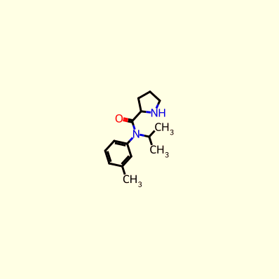 Cc1cccc(N(C(=O)C2CCCN2)C(C)C)c1